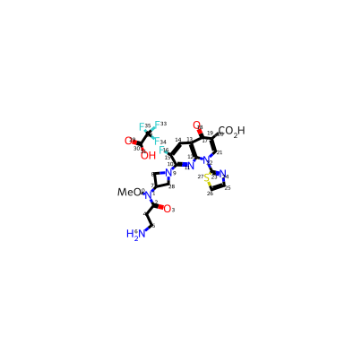 CON(C(=O)CCN)C1CN(c2nc3c(cc2F)c(=O)c(C(=O)O)cn3-c2nccs2)C1.O=C(O)C(F)(F)F